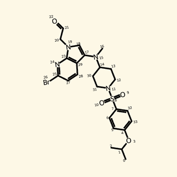 CC(C)Oc1ccc(S(=O)(=O)N2CCC(N(C)c3cn(CC=O)c4nc(Br)ccc34)CC2)cc1